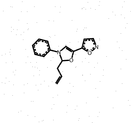 C=CCC1OC(c2ccno2)=[C]N1c1ccccc1